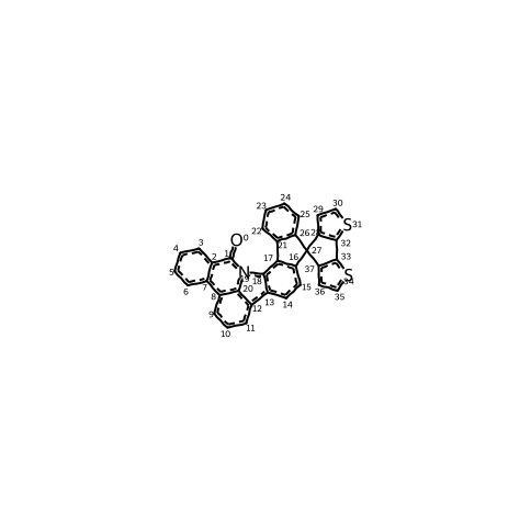 O=c1c2ccccc2c2cccc3c4ccc5c(c4n1c23)-c1ccccc1C51c2ccsc2-c2sccc21